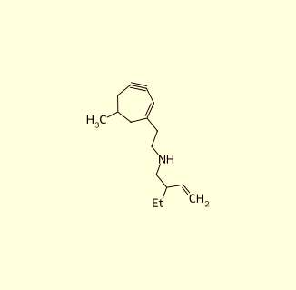 C=CC(CC)CNCCC1=CC#CCC(C)C1